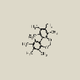 Cc1c(C)c(C)c2c(c1C)OCOc1c(C)c(C)c(C)c(C)c1-2